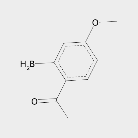 Bc1cc(OC)ccc1C(C)=O